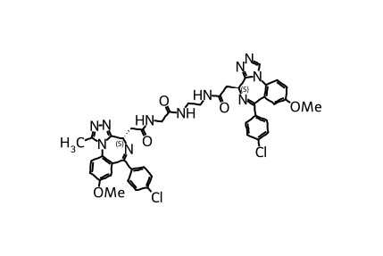 COc1ccc2c(c1)C(c1ccc(Cl)cc1)=N[C@@H](CC(=O)NCCNC(=O)CNC(=O)C[C@@H]1N=C(c3ccc(Cl)cc3)c3cc(OC)ccc3-n3c(C)nnc31)c1nncn1-2